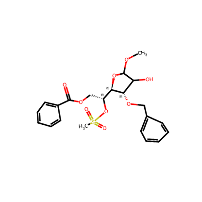 COC1O[C@H]([C@@H](COC(=O)c2ccccc2)OS(C)(=O)=O)[C@@H](OCc2ccccc2)C1O